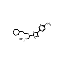 Nc1ccc(-c2noc([C@H](CCCC3CCCCC3)CC(=O)O)n2)cn1